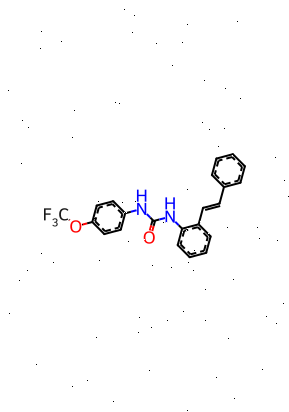 O=C(Nc1ccc(OC(F)(F)F)cc1)Nc1ccccc1/C=C/c1ccccc1